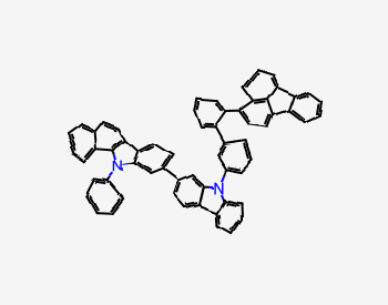 c1ccc(-n2c3cc(-c4ccc5c6ccccc6n(-c6cccc(-c7ccccc7-c7ccc8c9c(cccc79)-c7ccccc7-8)c6)c5c4)ccc3c3ccc4ccccc4c32)cc1